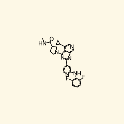 CNC(=O)C1CCN(c2nc(-c3ccnc(Nc4c(F)cccc4F)c3)nc3cncc(C4CC4)c23)C1